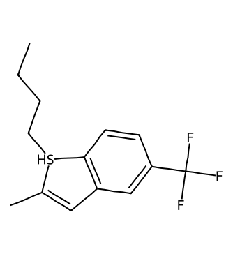 CCCC[SH]1C(C)=Cc2cc(C(F)(F)F)ccc21